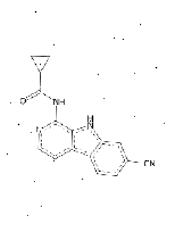 N#Cc1ccc2c(c1)[nH]c1c(NC(=O)C3CC3)nccc12